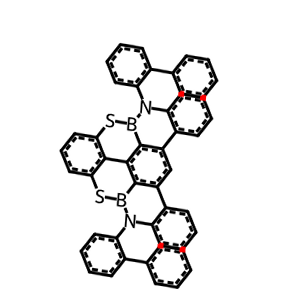 c1ccc(-c2ccccc2N2B3Sc4cccc5c4-c4c3c(cc3c4B(S5)N(c4ccccc4-c4ccccc4)c4ccccc4-3)-c3ccccc32)cc1